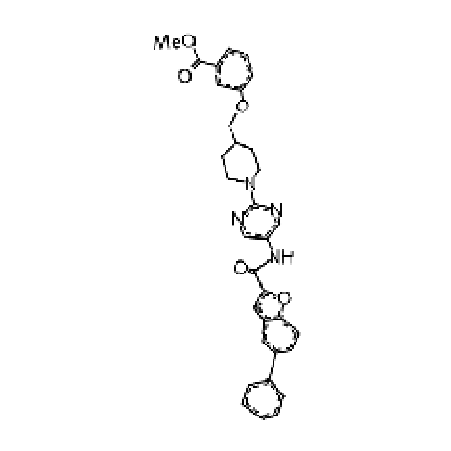 COC(=O)c1cccc(OCC2CCN(c3ncc(NC(=O)c4cc5cc(-c6ccccc6)ccc5o4)cn3)CC2)c1